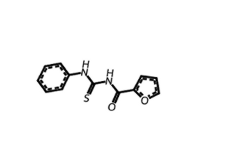 O=C(NC(=S)Nc1ccccc1)c1ccco1